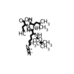 C#CCC(NC(=O)C(CC(C)C)NC(=O)C(CCCCN=[N+]=[N-])NC(=O)OC(C)(C)C)C(=O)O